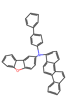 c1ccc(-c2ccc(N(c3ccc4oc5ccccc5c4c3)c3cccc4c3ccc3c5ccccc5ccc43)cc2)cc1